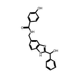 O=C(NCc1ccc2[nH]c(C(O)c3ccccc3)nc2c1)c1ccc(O)cc1